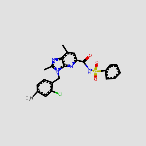 Cc1cc(C(=O)NS(=O)(=O)c2ccccc2)nc2c1nc(C)n2Cc1ccc([N+](=O)[O-])cc1Cl